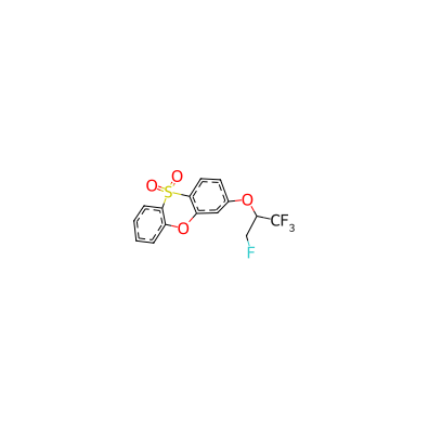 O=S1(=O)c2ccccc2Oc2cc(OC(CF)C(F)(F)F)ccc21